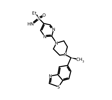 CCS(=N)(=O)c1cnc(N2CCN([C@@H](C)c3ccc4scnc4c3)CC2)nc1